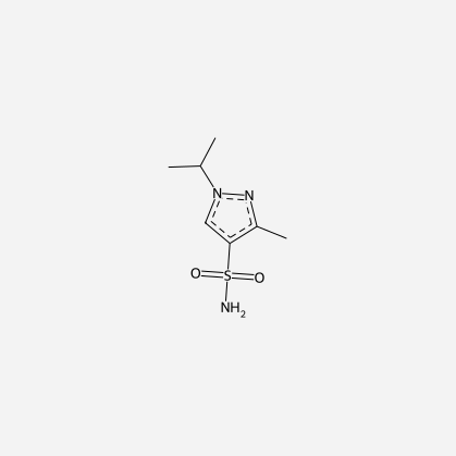 Cc1nn(C(C)C)cc1S(N)(=O)=O